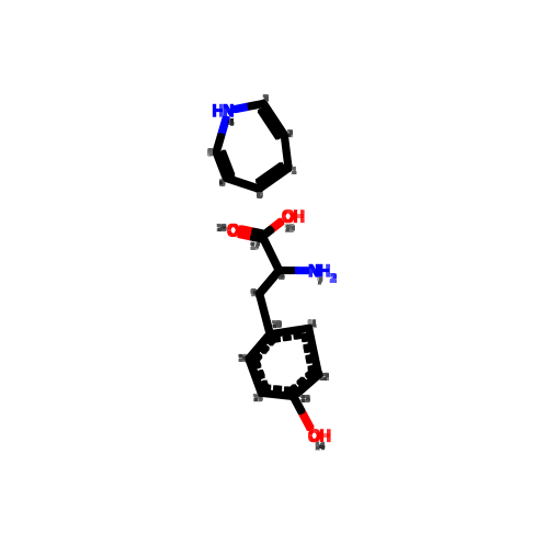 C1=CC=CNC=C1.NC(Cc1ccc(O)cc1)C(=O)O